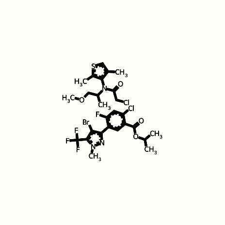 CC(C)OC(=O)c1cc(-c2nn(C)c(C(F)(F)F)c2Br)c(F)cc1Cl.COCC(C)N(C(=O)CCl)c1c(C)csc1C